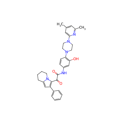 Cc1cc(C)nc(N2CCN(c3ccc(NC(=O)C(=O)c4c(-c5ccccc5)cc5n4CCCC5)cc3O)CC2)c1